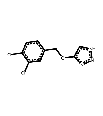 Clc1ccc(COc2c[nH]nn2)cc1Cl